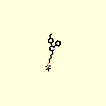 CCc1ccc(-c2ccc(CCCCCO[Si](C)(C)C(C)(C)C)nc2-c2ccccc2)cc1